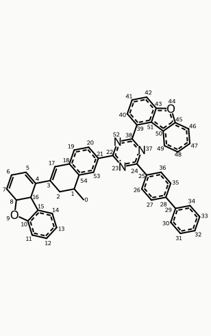 CC1CC(C2=CC=CC3Oc4ccccc4C23)=Cc2ccc(-c3nc(-c4ccc(-c5ccccc5)cc4)nc(-c4cccc5oc6ccccc6c45)n3)cc21